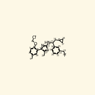 Cc1ccc(OCCl)c(-c2nc(NC(CC3CC3)c3cccc(CF)c3)sc2C)c1